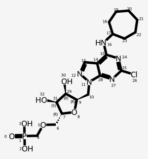 O=P(O)(O)COC[C@H]1O[C@H](Cn2ncc3c(NC4CCCCCC4)nc(Cl)nc32)[C@H](O)[C@@H]1O